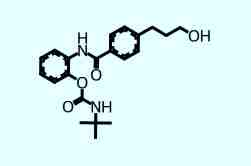 CC(C)(C)NC(=O)Oc1ccccc1NC(=O)c1ccc(CCCO)cc1